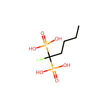 CCCCC(F)(P(=O)(O)O)P(=O)(O)O